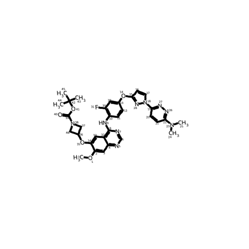 COc1cc2ncnc(Nc3ccc(Oc4ccn(-c5ccc(N(C)C)nn5)n4)cc3F)c2cc1OC1CN(C(=O)OC(C)(C)C)C1